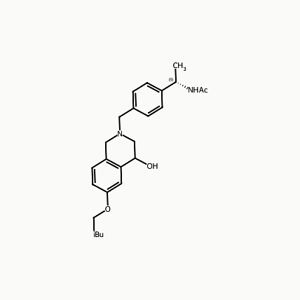 CCC(C)COc1ccc2c(c1)C(O)CN(Cc1ccc([C@H](C)NC(C)=O)cc1)C2